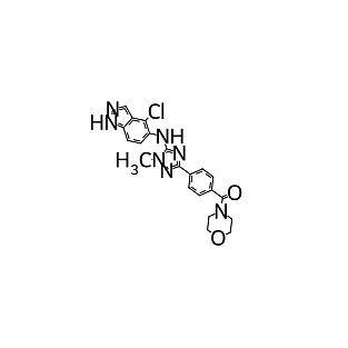 Cn1nc(-c2ccc(C(=O)N3CCOCC3)cc2)nc1Nc1ccc2[nH]ncc2c1Cl